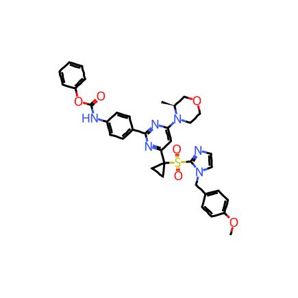 COc1ccc(Cn2ccnc2S(=O)(=O)C2(c3cc(N4CCOC[C@@H]4C)nc(-c4ccc(NC(=O)Oc5ccccc5)cc4)n3)CC2)cc1